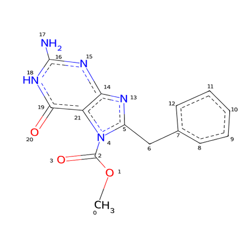 COC(=O)n1c(Cc2ccccc2)nc2nc(N)[nH]c(=O)c21